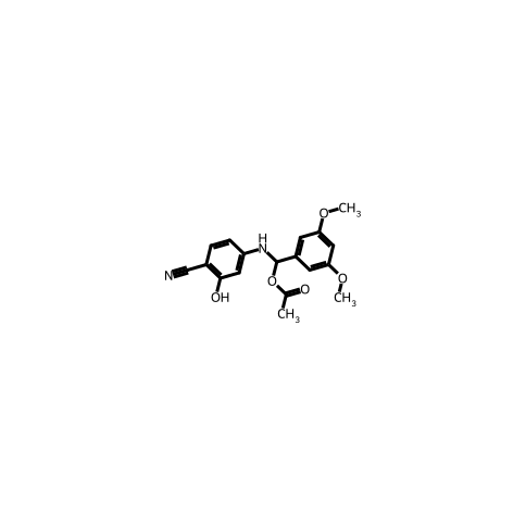 COc1cc(OC)cc(C(Nc2ccc(C#N)c(O)c2)OC(C)=O)c1